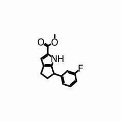 COC(=O)c1cc2c([nH]1)C(c1cccc(F)c1)CC2